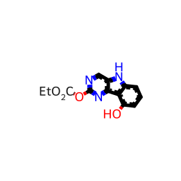 CCOC(=O)Oc1ncc2[nH]c3cccc(O)c3c2n1